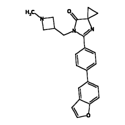 CN1CC(CN2C(=O)C3(CC3)N=C2c2ccc(-c3ccc4occc4c3)cc2)C1